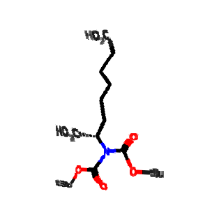 CC(C)(C)OC(=O)N(C(=O)OC(C)(C)C)[C@@H](CCCCCC(=O)O)C(=O)O